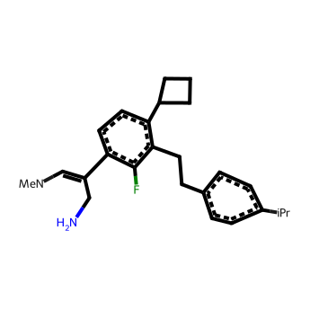 CN/C=C(\CN)c1ccc(C2CCC2)c(CCc2ccc(C(C)C)cc2)c1F